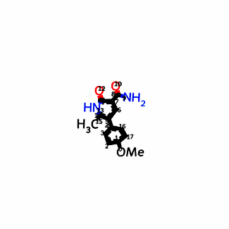 COc1ccc(-c2cc(C(N)=O)c(=O)[nH]c2C)cc1